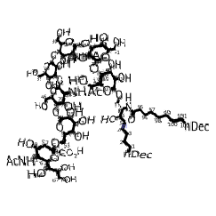 CCCCCCCCCCCCC/C=C/[C@@H](O)[C@H](CO[C@@H]1OC(CO)[C@@H](O[C@@H]2OC(CO)[C@H](O)[C@H](O[C@@H]3OC(CO)[C@@H](O[C@@H]4OC(CO)[C@H](O)[C@H](O[C@@H]5OC(CO)[C@@H](O[C@@H]6OC(CO[C@]7(C(=O)O)CC(O)[C@@H](NC(C)=O)C([C@H](O)[C@H](O)CO)O7)[C@H](O)[C@H](O)C6O)[C@H](O)C5NC(C)=O)C4O)[C@H](O)C3NC(C)=O)C2O)[C@H](O)C1O)NC(=O)CCCCCCCCCCCCCCCCC